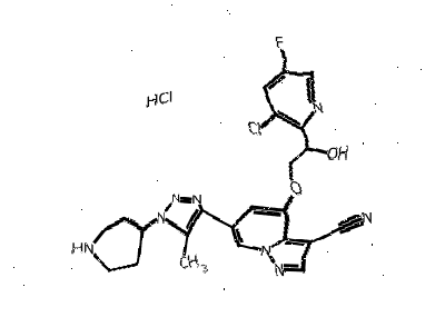 Cc1c(-c2cc(OCC(O)c3ncc(F)cc3Cl)c3c(C#N)cnn3c2)nnn1C1CCNCC1.Cl